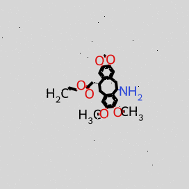 C=CCOC(=O)C[C@H]1Cc2cc(OC)c(OC)cc2[C@@H](N)Cc2cc3c(cc21)OCO3